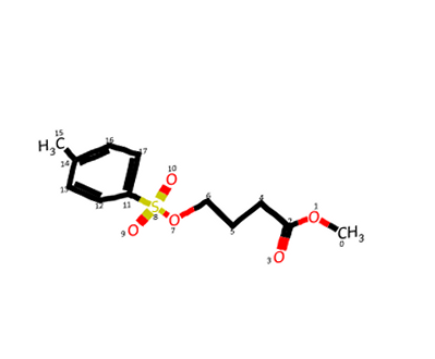 COC(=O)CCCOS(=O)(=O)c1ccc(C)cc1